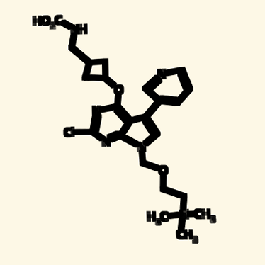 C[Si](C)(C)CCOCn1cc(-c2cccnc2)c2c(OC3CC(CNC(=O)O)C3)nc(Cl)nc21